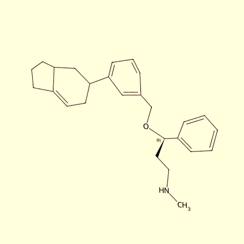 CNCC[C@@H](OCc1cccc(C2CC=C3CCCC3C2)c1)c1ccccc1